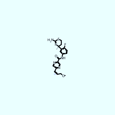 COC/C=C\c1cnc(C(=O)Nc2ccc(F)c([C@]3(C)CCSC(N)=N3)c2)cn1